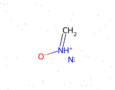 C=[NH+][O-].[N]